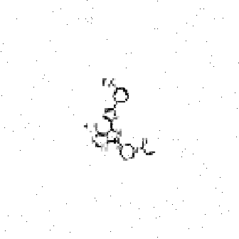 C=CC(=O)N1CCC[C@@H](n2nc(-c3ccc(-c4cccc(C(F)(F)F)c4)s3)c3c(N)ncnc32)C1